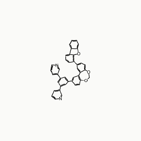 c1cncc(-c2cc(-c3cccnc3)cc(-c3ccc4c(c3)-c3cc(-c5cccc6c5oc5ccccc56)ccc3OCO4)c2)c1